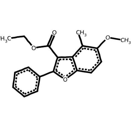 CCOC(=O)c1c(-c2ccccc2)oc2ccc(OC)c(C)c12